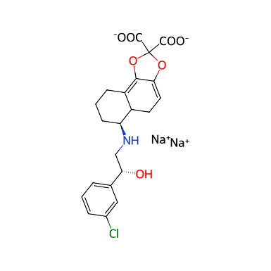 O=C([O-])C1(C(=O)[O-])OC2=CCC3C(=C2O1)CCC[C@@H]3NC[C@H](O)c1cccc(Cl)c1.[Na+].[Na+]